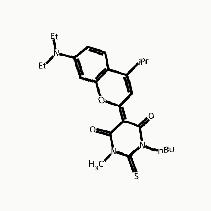 CCCCN1C(=O)/C(=C2\C=C(C(C)C)c3ccc(N(CC)CC)cc3O2)C(=O)N(C)C1=S